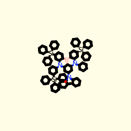 c1ccc(N2c3cc([Si](c4ccccc4)(c4ccccc4)c4ccccc4)ccc3B3c4ccc([Si](c5ccccc5)(c5ccccc5)c5ccccc5)cc4N(c4cccc([Si](c5ccccc5)(c5ccccc5)c5ccccc5)c4)c4cc(-n5c6ccccc6c6ccccc65)cc2c43)cc1